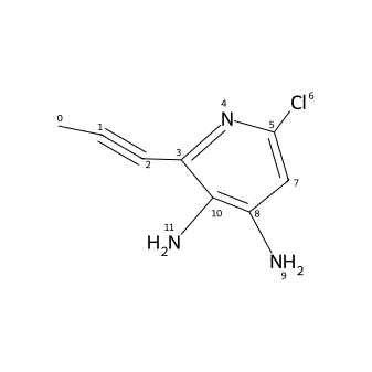 CC#Cc1nc(Cl)cc(N)c1N